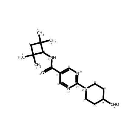 CC1(C)CC(C)(C)C1NC(=O)c1cnc(N2CCC(C=O)CC2)nc1